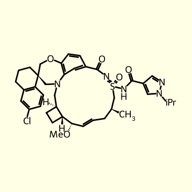 CO[C@H]1/C=C/C[C@H](C)CS(=O)(NC(=O)c2cnn(C(C)C)c2)=NC(=O)c2ccc3c(c2)N(C[C@@H]2CC[C@H]21)C[C@@]1(CCCc2cc(Cl)ccc21)CO3